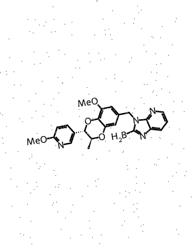 Bc1nc2cccnc2n1Cc1cc(OC)c2c(c1)O[C@@H](C)[C@H](c1ccc(OC)nc1)O2